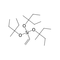 C=C[Si](OC(C)(CC)CC)(OC(C)(CC)CC)OC(C)(CC)CC